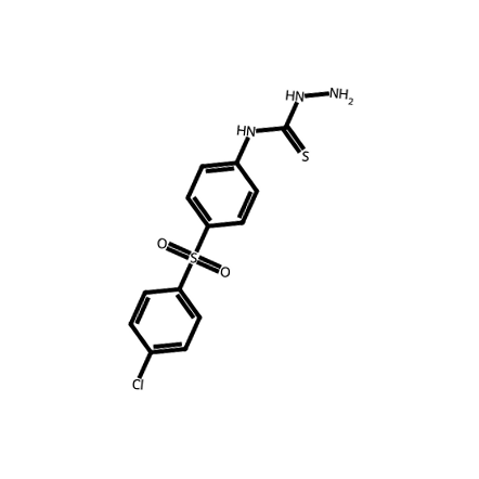 NNC(=S)Nc1ccc(S(=O)(=O)c2ccc(Cl)cc2)cc1